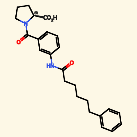 O=C(CCCCCc1ccccc1)Nc1cccc(C(=O)N2CCC[C@H]2C(=O)O)c1